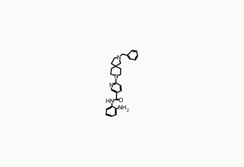 Nc1ccccc1NC(=O)c1ccc(N2CCC3(CCN(Cc4ccccc4)C3)CC2)nc1